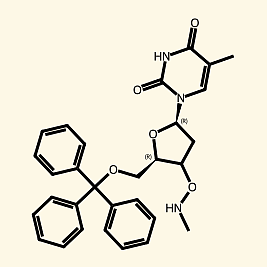 CNOC1C[C@H](n2cc(C)c(=O)[nH]c2=O)O[C@@H]1COC(c1ccccc1)(c1ccccc1)c1ccccc1